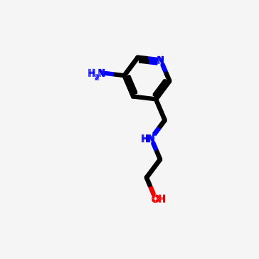 Nc1cncc(CNCCO)c1